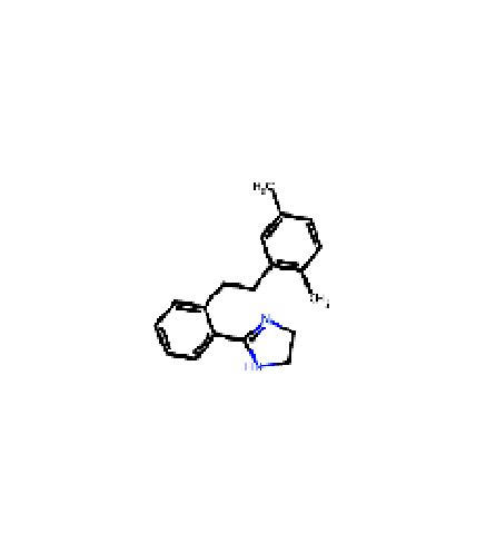 Cc1ccc(C)c(CCc2ccccc2C2=NCCN2)c1